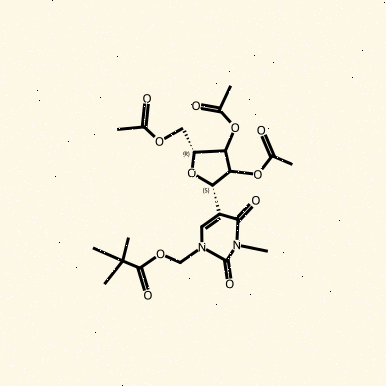 CC(=O)OC[C@H]1O[C@@H](c2cn(COC(=O)C(C)(C)C)c(=O)n(C)c2=O)C(OC(C)=O)C1OC(C)=O